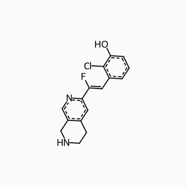 Oc1cccc(C=C(F)c2cc3c(cn2)CNCC3)c1Cl